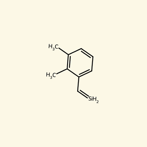 Cc1cccc(C=[SiH2])c1C